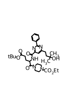 CCOC(=O)N1CCN(C(=O)C(CCC(=O)OC(C)(C)C)NC(=O)c2cc(CCC(C)(C)O)nc(-c3ccccc3)n2)CC1